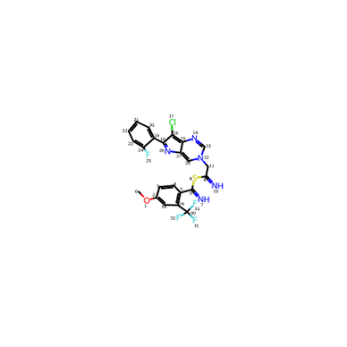 COc1ccc(C(=N)SC(=N)Cn2cnc3c(Cl)c(-c4ccccc4F)nc-3c2)c(C(F)(F)F)c1